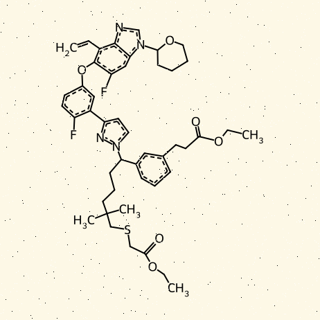 C=Cc1c(Oc2ccc(F)c(-c3ccn(C(CCCC(C)(C)CSCC(=O)OCC)c4cccc(CCC(=O)OCC)c4)n3)c2)c(F)cc2c1ncn2C1CCCCO1